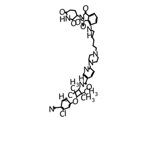 CC1(C)C(NC(=O)c2ccc(N3CCN(CCCCCNc4cccc5c4S(=O)(=O)N(C4CCC(=O)NC4=O)C5=O)CC3)nc2)C(C)(C)C1Oc1ccc(C#N)c(Cl)c1